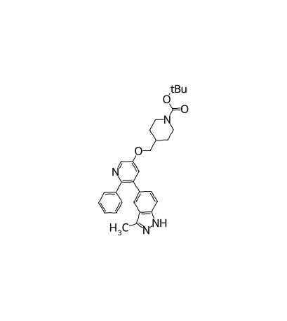 Cc1n[nH]c2ccc(-c3cc(OCC4CCN(C(=O)OC(C)(C)C)CC4)cnc3-c3ccccc3)cc12